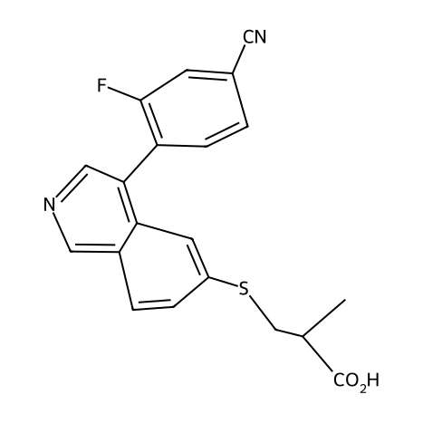 CC(CSc1ccc2cncc(-c3ccc(C#N)cc3F)c2c1)C(=O)O